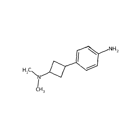 CN(C)C1CC(c2ccc(N)cc2)C1